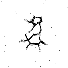 CCCCC1(C)CN(Cc2cccc(F)c2F)C(=O)C(C(C)=O)=C1C